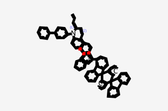 C=C/C=C(\C=C/Cc1ccc2c(c1)c1ccccc1n2-c1cccc2c1-c1ccccc1C21c2ccccc2C2(c3ccccc3-c3ccccc32)c2ccccc21)N(c1ccc(-c2ccccc2)cc1)c1ccc(-c2ccccc2)cc1